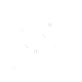 CCOC(=O)c1c(N2CCN(C(=O)c3ccco3)CC2)c2cc(F)cnc2n(Cc2cccc(F)c2)c1=O